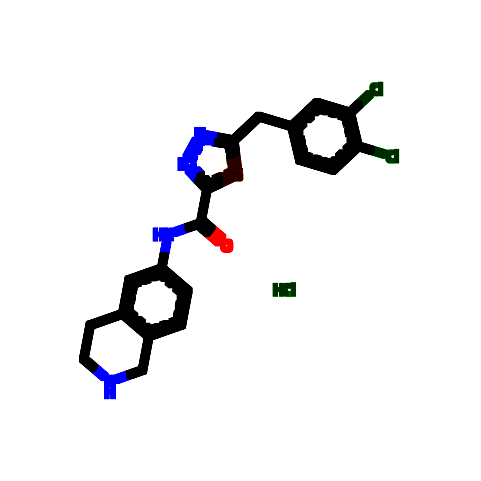 Cl.O=C(Nc1ccc2c(c1)CCNC2)c1nnc(Cc2ccc(Cl)c(Cl)c2)s1